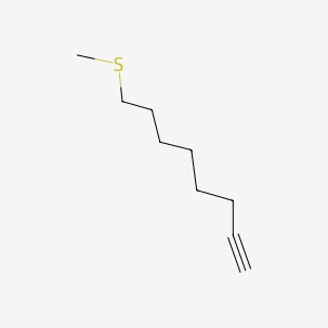 C#CCCCCCCSC